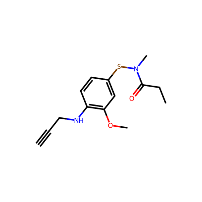 C#CCNc1ccc(SN(C)C(=O)CC)cc1OC